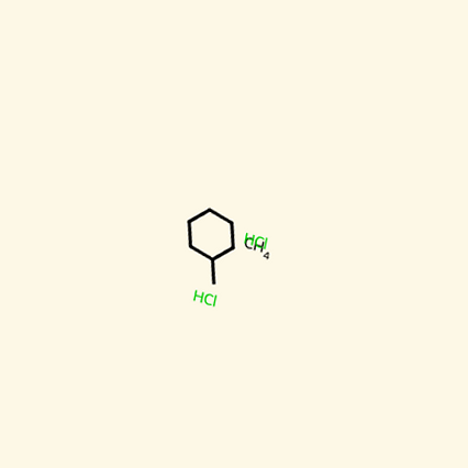 C.CC1CCCCC1.Cl.Cl